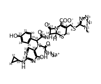 Cn1nnnc1SCC1=C(C(=O)[O-])N2C(=O)C(NC(=O)C(c3ccc(O)cc3)N(C(N)=O)c3cnc(NC4CC4)nc3O)[C@H]2SC1.[Na+]